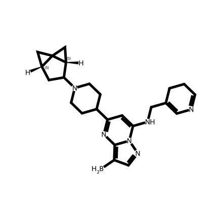 Bc1cnn2c(NCC3=CN=CCC3)cc(C3CCN(C4C[C@@H]5CC56C[C@H]46)CC3)nc12